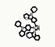 C1=CCCC(B2c3ccccc3-c3cc(-c4nnc(-n5c6c(c7ccccc75)CCC=C6)n4-c4ccc5c(c4)-c4ccccc4B5c4ccccc4)ccc32)=C1